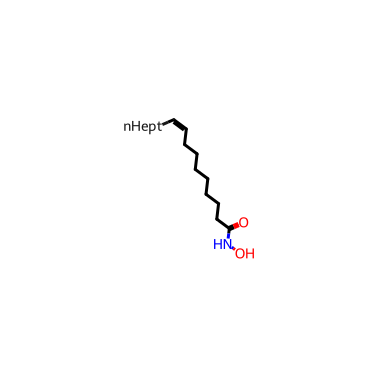 CCCCCCC/C=C\CCCCCCCC(=O)NO